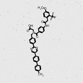 COc1ccc(CC(=O)Nc2ccc(C(=O)N(CC(=O)O)Cc3ccc(-c4ncc(-c5ccc(-c6ccc(C)cc6)cc5)cn4)cc3)cc2)c(C(F)(F)F)c1